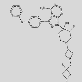 Nc1ncnc2c1c(-c1ccc(Oc3ccccc3)cc1)nn2C1(O)CCN(C2CN(CC3(F)CNC3)C2)C[C@H]1F